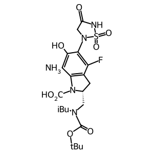 CC[C@@H](C)N(C[C@H]1Cc2c(cc(O)c(N3CC(=O)NS3(=O)=O)c2F)N1C(=O)O)C(=O)OC(C)(C)C.N